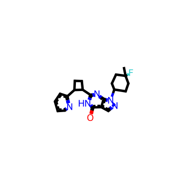 CC1(F)CCC(n2ncc3c(=O)[nH]c(C4CCC4c4ccccn4)nc32)CC1